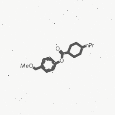 CCCC1CCC(C(=O)Oc2ccc(COC)cc2)CC1